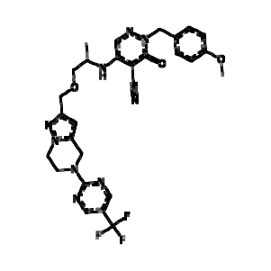 COc1ccc(Cn2ncc(NC(C)COCc3cc4n(n3)CCN(c3ncc(C(F)(F)F)cn3)C4)c(C#N)c2=O)cc1